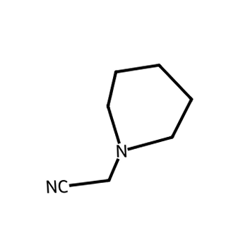 N#CCN1CCCCC1